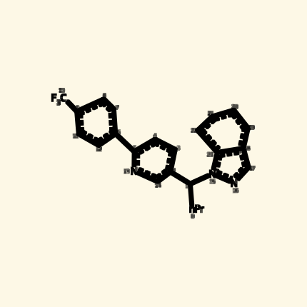 CCCC(c1ccc(-c2ccc(C(F)(F)F)cc2)nc1)n1ncc2ccccc21